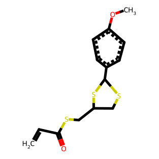 C=CC(=O)SCC1CSC(c2ccc(OC)cc2)S1